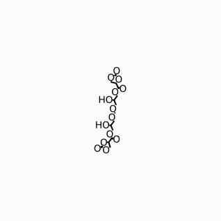 O=C1OCC(C(=O)OCC(O)COCOCC(O)COC(=O)C2COC(=O)O2)O1